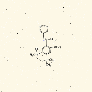 CCCCCCCCc1cc2c(cc1/C(C)=C/c1ccccc1)C(C)(C)CCC2(C)C